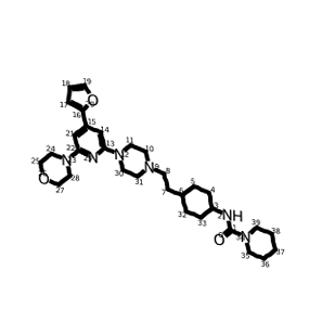 O=C(NC1CCC(CCN2CCN(c3cc(-c4ccco4)cc(N4CCOCC4)n3)CC2)CC1)N1CCCCC1